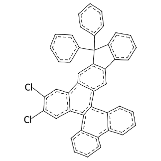 Clc1cc2c3cc4c(cc3c3c5ccccc5c5ccccc5c3c2cc1Cl)-c1ccccc1C4(c1ccccc1)c1ccccc1